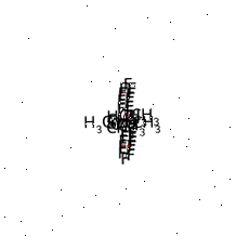 CC(C)(CO[Si](C)(C)C)C(CCC(F)(F)C(F)(F)C(F)(F)C(F)(F)C(F)(F)C(F)(F)F)(CCC(F)(F)C(F)(F)C(F)(F)C(F)(F)C(F)(F)C(F)(F)F)O[Si](C)(C)C